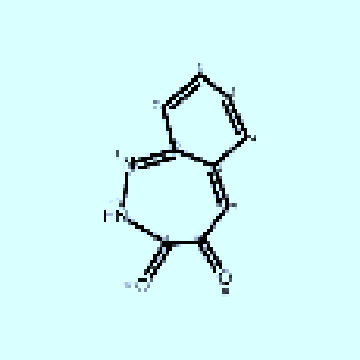 O=c1cc2ccccc2n[nH]c1=O